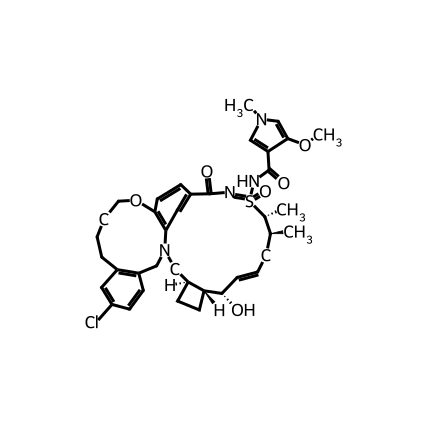 COc1cn(C)cc1C(=O)NS1(=O)=NC(=O)c2ccc3c(c2)N(Cc2ccc(Cl)cc2CCCCO3)C[C@@H]2CC[C@H]2[C@@H](O)/C=C/C[C@H](C)[C@H]1C